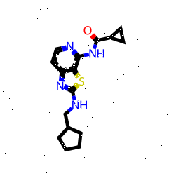 O=C(Nc1nccc2nc(NCC3CCCC3)sc12)C1CC1